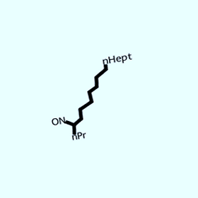 CCCCCCCCCCCCCCC(CCC)N=O